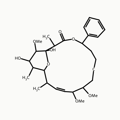 COC1/C=C\C(C)C2OC(O)(C(C)C(=O)OC(c3ccccc3)CCCCC1OC)C(OC)C(O)C2C